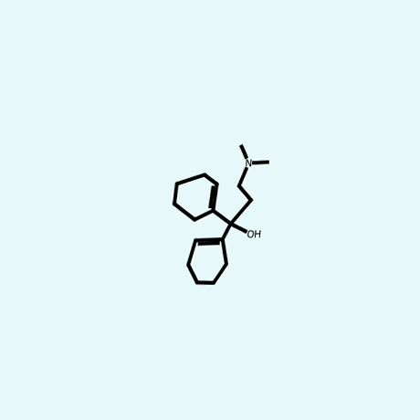 CN(C)CCC(O)(C1=CCCCC1)C1=CCCCC1